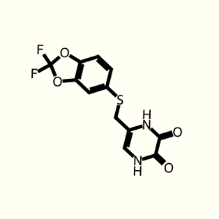 O=c1[nH]cc(CSc2ccc3c(c2)OC(F)(F)O3)[nH]c1=O